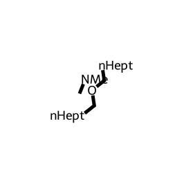 CCCCCCCCOCCCCCCCC.CNC